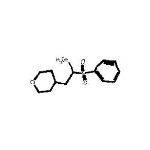 O=S(=O)(c1ccccc1)[CH]([GeH3])CC1CCOCC1